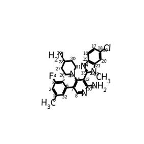 Cc1cc(F)cc(-c2cnc(N)c(-c3nc4ccc(Cl)cc4n3C)c2N2CCC(N)CC2)c1